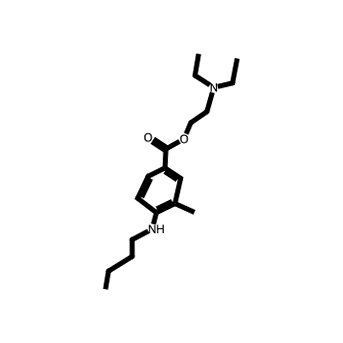 CCCCNc1ccc(C(=O)OCCN(CC)CC)cc1C